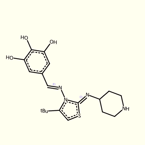 CC(C)(C)c1cs/c(=N\C2CCNCC2)n1/N=C/c1cc(O)c(O)c(O)c1